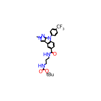 Cn1cc2c3cc(C(=O)NCCCNC(=O)OC(C)(C)C)ccc3n(-c3ccc(C(F)(F)F)cc3)c2n1